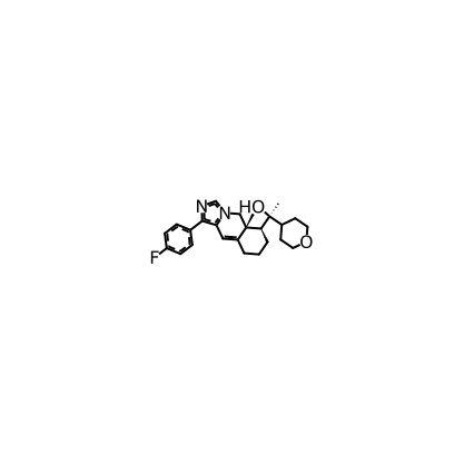 C[C@]12Cn3cnc(-c4ccc(F)cc4)c3C=C1CCC[C@@H]2[C@@](C)(O)C1CCOCC1